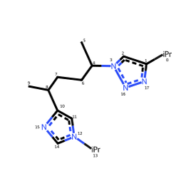 CC(C)c1cn(C(C)CCC(C)c2cn(C(C)C)cn2)nn1